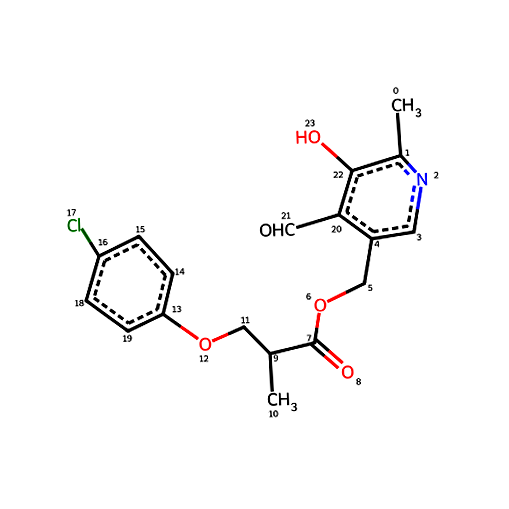 Cc1ncc(COC(=O)C(C)COc2ccc(Cl)cc2)c(C=O)c1O